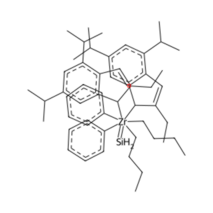 CCC[CH2][Zr](=[SiH2])([CH2]CCC)([c]1ccccc1)([c]1ccccc1)([CH]1C(CC)=Cc2c(C(C)C)cc(C(C)C)cc21)[CH]1C(CC)=Cc2c(C(C)C)cc(C(C)C)cc21